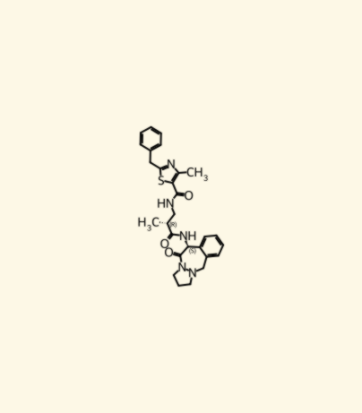 Cc1nc(Cc2ccccc2)sc1C(=O)NC[C@@H](C)C(=O)N[C@@H]1C(=O)N2CCCN2Cc2ccccc21